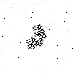 Cc1cccc(N(c2cc3c4cc(N(c5cccc(C)c5)c5cccc6c5oc5c(C7CCCC7)cccc56)c5ccccc5c4oc3c3ccccc23)c2cccc3c2oc2c(C4CCCC4)cccc23)c1